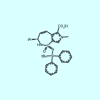 CCOC(=O)c1c2c(cn1C)S(=O)(=N[Si](c1ccccc1)(c1ccccc1)C(C)(C)C)N[C@@H](C(C)C)C=C2